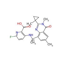 Cc1cc([C@@H](C)Nc2ccc(F)nc2C(=O)O)c2nc(C3(C)CC3)n(C)c(=O)c2c1